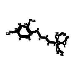 CO[Si](CCCCc1ccc(F)cc1F)(OC)OC